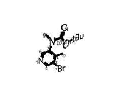 Cc1c(Br)cncc1N(C)C(=O)OC(C)(C)C